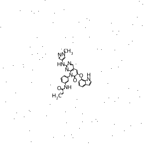 C=CC(=O)Nc1cccc(-n2c(=O)c(Oc3cccc4cc[nH]c34)cc3cnc(Nc4cnn(C)c4)nc32)c1